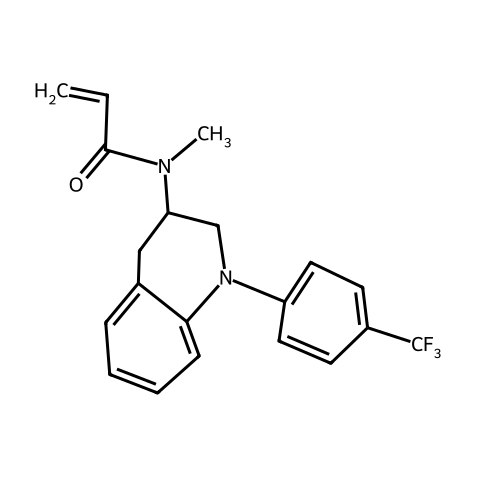 C=CC(=O)N(C)C1Cc2ccccc2N(c2ccc(C(F)(F)F)cc2)C1